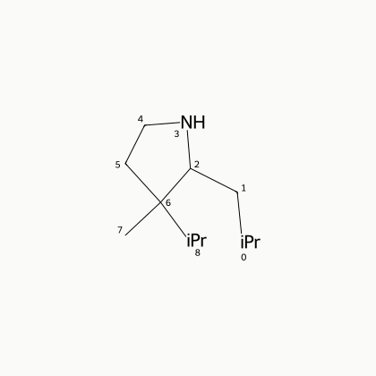 CC(C)CC1NCCC1(C)C(C)C